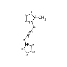 C=C1CCCN1CC#CCN1CCCC1